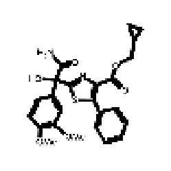 COc1ccc(C(O)(C(N)=O)c2nc(C(=O)OCC3CC3)c(-c3ccccc3)s2)cc1OC